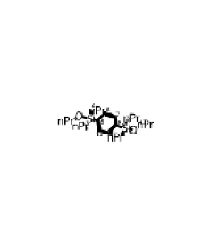 CCCO[Si](CCC)(CCC)c1ccc([Si](CCC)(CCC)OCCC)cc1